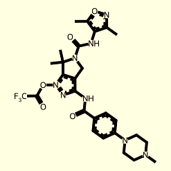 Cc1noc(C)c1NC(=O)N1Cc2c(NC(=O)c3ccc(N4CCN(C)CC4)cc3)nn(OC(=O)C(F)(F)F)c2C1(C)C